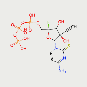 C#C[C@@]1(O)C(O)[C@@](F)(COP(=O)(O)OP(=O)(O)OP(=O)(O)O)O[C@H]1n1ccc(N)nc1=S